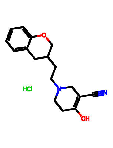 Cl.N#CC1=C(O)CCN(CCC2COc3ccccc3C2)C1